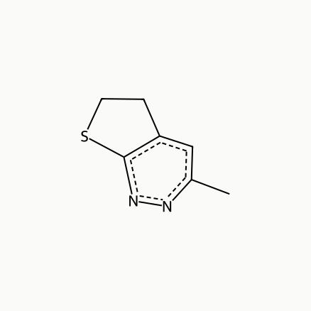 Cc1cc2c(nn1)SCC2